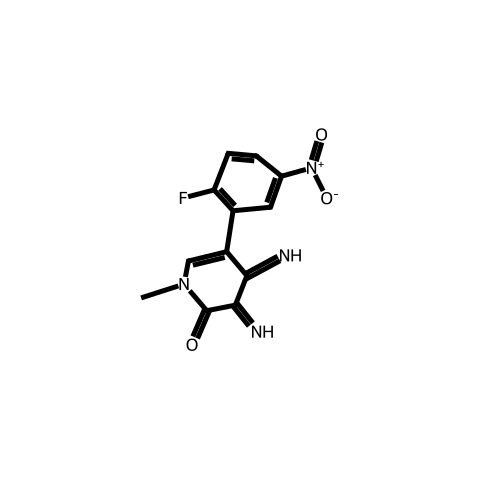 CN1C=C(c2cc([N+](=O)[O-])ccc2F)C(=N)C(=N)C1=O